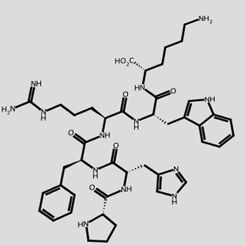 N=C(N)NCCC[C@H](NC(=O)[C@H](Cc1ccccc1)NC(=O)[C@H](Cc1c[nH]cn1)NC(=O)[C@@H]1CCCN1)C(=O)N[C@@H](Cc1c[nH]c2ccccc12)C(=O)N[C@@H](CCCCN)C(=O)O